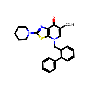 O=C(O)c1cn(CC2C=CC=CC2c2ccccc2)c2sc(N3CCCCC3)nc2c1=O